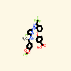 C[C@H](Nc1nc(-n2nc(C(F)(F)F)c3c2[C@@H](Oc2ccc(C(=O)O)cc2)CCC3)ccc1F)c1ccc2c(c1)OC(F)(F)O2